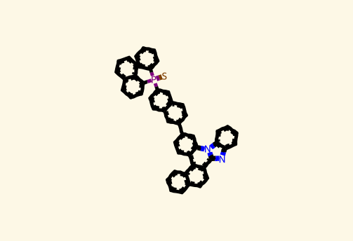 S=P(c1ccccc1)(c1ccc2cc(-c3ccc4c5c6ccccc6ccc5c5nc6ccccc6n5c4c3)ccc2c1)c1cccc2ccccc12